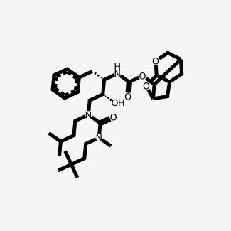 CC(C)CCN(C[C@@H](O)[C@H](Cc1ccccc1)NC(=O)OC1C2COC3OC1CC3C2)C(=O)N(C)CCC(C)(C)C